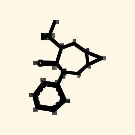 CNC1CC2CC2CN(c2ccccc2)C1=O